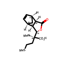 CN[C@@](CCSC)(C(=O)O)[C@H]1OC(=O)[C@H]2[C@@H]1[C@H]1C=C[C@@H]2C1